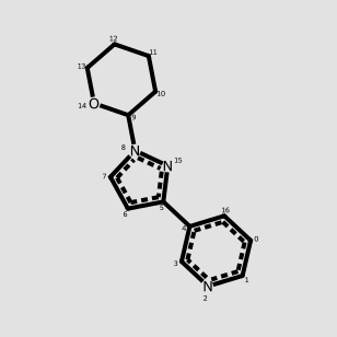 c1cncc(-c2ccn(C3CCCCO3)n2)c1